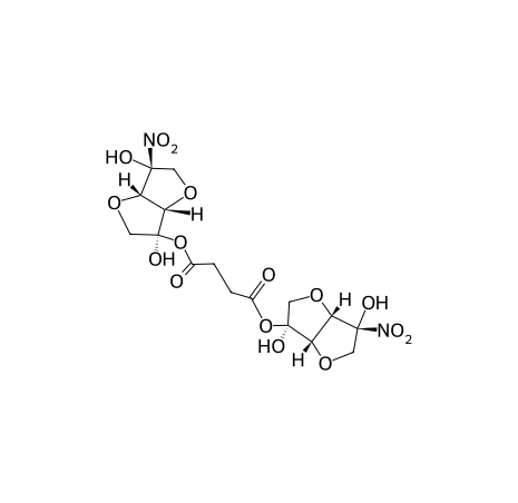 O=C(CCC(=O)O[C@@]1(O)CO[C@H]2[C@@H]1OC[C@]2(O)[N+](=O)[O-])O[C@@]1(O)CO[C@H]2[C@@H]1OC[C@]2(O)[N+](=O)[O-]